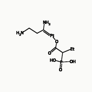 CCC(C(=O)[O][Pt]=[C](N)CCN)P(=O)(O)O